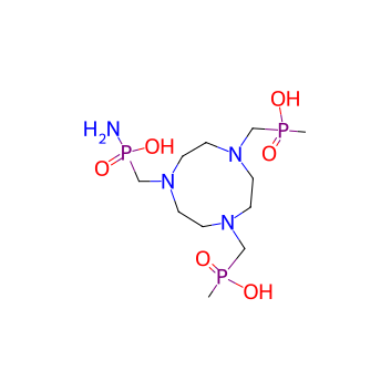 CP(=O)(O)CN1CCN(CP(C)(=O)O)CCN(CP(N)(=O)O)CC1